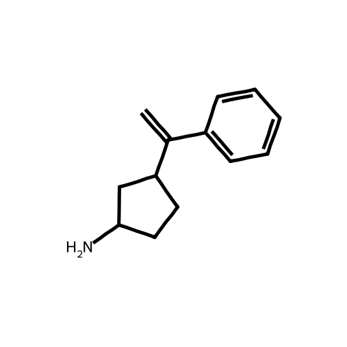 C=C(c1ccccc1)C1CCC(N)C1